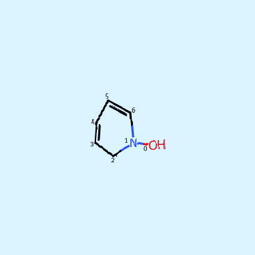 ON1[CH]C=CC=C1